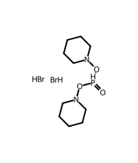 Br.Br.O=[PH](ON1CCCCC1)ON1CCCCC1